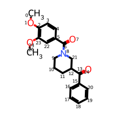 COc1ccc(C(=O)N2CCCC(C(=O)c3ccccc3)C2)cc1OC